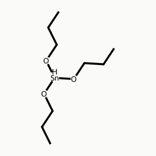 CCC[O][SnH]([O]CCC)[O]CCC